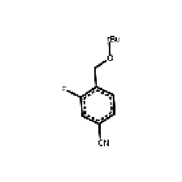 CC(C)(C)OCc1ccc(C#N)cc1F